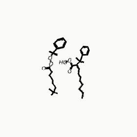 CC(C)(C)CCCCCC(=O)OOC(C)(C)c1ccccc1.CCCCCCCCC(C(=O)OO)C(C)(C)c1ccccc1